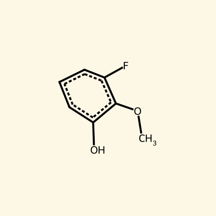 COc1c(O)cccc1F